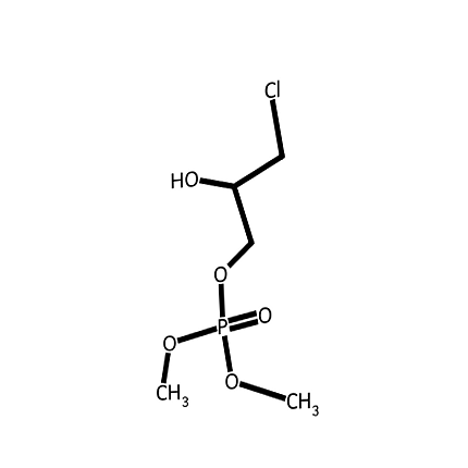 COP(=O)(OC)OCC(O)CCl